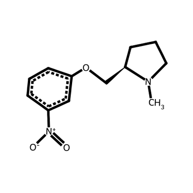 CN1CCC[C@@H]1COc1cccc([N+](=O)[O-])c1